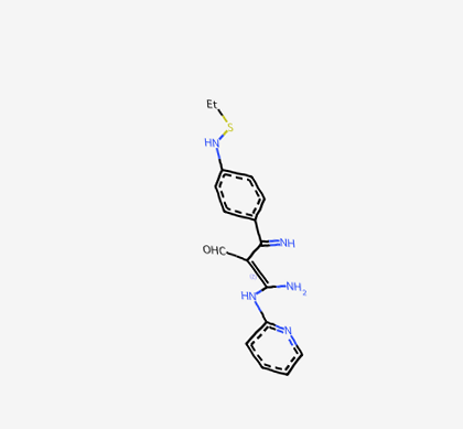 CCSNc1ccc(C(=N)/C(C=O)=C(\N)Nc2ccccn2)cc1